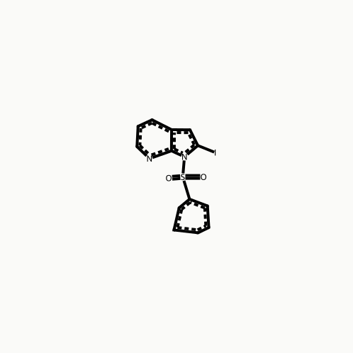 O=S(=O)(c1ccccc1)n1c(I)cc2cccnc21